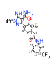 CC(C)n1nc(-c2ccc(CC(=O)Nc3cccc(C(F)(F)F)c3)c(F)c2)c(C(N)=O)c1N